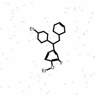 CCOc1ccc(C(CC2CC=CCC2)C2CCC(CC)CC2)cc1F